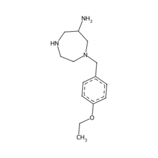 CCOc1ccc(CN2CCNCC(N)C2)cc1